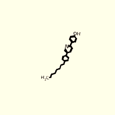 CCCCCCCCc1ccc(-c2ccc(-c3ccc(O)cc3)nc2)cc1